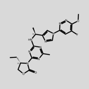 CC[C@H]1COC(=O)N1c1nc(C)nc(N[C@@H](C)c2cn(-c3cc(F)c(OC)nn3)cn2)n1